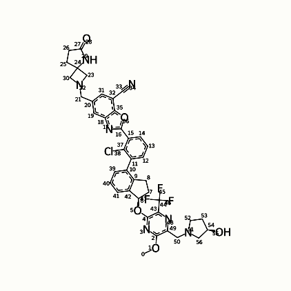 COc1nc(O[C@@H]2CCc3c(-c4cccc(-c5nc6cc(CN7CC8(CCC(=O)N8)C7)cc(C#N)c6o5)c4Cl)cccc32)c(C(F)(F)F)nc1CN1CC[C@@H](O)C1